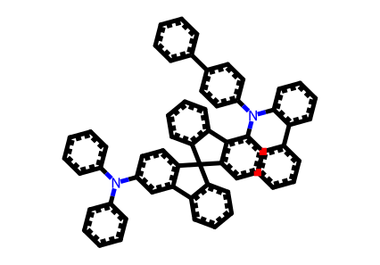 c1ccc(-c2ccc(N(c3ccccc3-c3ccccc3)c3cccc4c3-c3ccccc3C43c4ccccc4-c4cc(N(c5ccccc5)c5ccccc5)ccc43)cc2)cc1